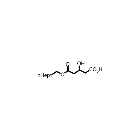 CCCCCCCCOC(=O)CC(O)CC(=O)O